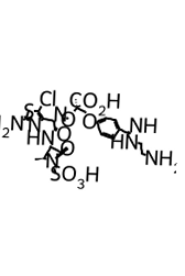 C[C@H]1[C@H](NC(=O)/C(=N\O[C@@H](COc2ccc(C(=N)NCCN)cc2)C(=O)O)c2nc(N)sc2Cl)C(=O)N1S(=O)(=O)O